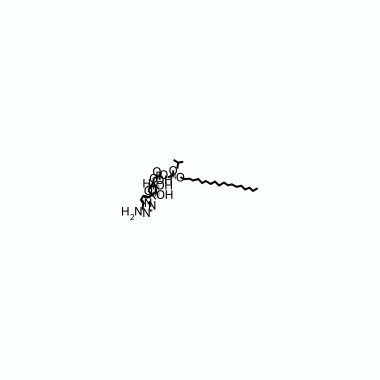 CCCCCCCCCCCCCCCCCCOC[C@H](COP(=O)(O)OC1[C@H]2O[C@@](C)(c3ccc4c(N)ncnn34)[C@H](O)[C@@]12O)OCC(C)C